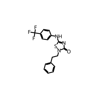 O=c1nc(Nc2ccc(C(F)(F)F)cc2)sn1CCc1ccccc1